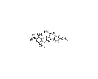 Cc1ccc(-c2nc(Cc3cc(C)c([N+](=O)[O-])cc3C)sc2C(=O)O)cc1